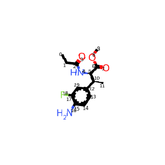 CCC(=O)N[C@@H](C(=O)OC)[C@@H](C)c1ccc(N)c(F)c1